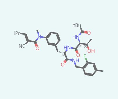 Cc1ccc(CNC(=O)[C@H](Cc2cccc(N(C)C(=O)C(C#N)=CC(C)C)c2)NC(=O)[C@@H](NC(=O)C(C)(C)C)[C@@H](C)O)c(F)c1